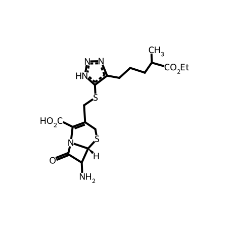 CCOC(=O)C(C)CCCc1nn[nH]c1SCC1=C(C(=O)O)N2C(=O)C(N)[C@H]2SC1